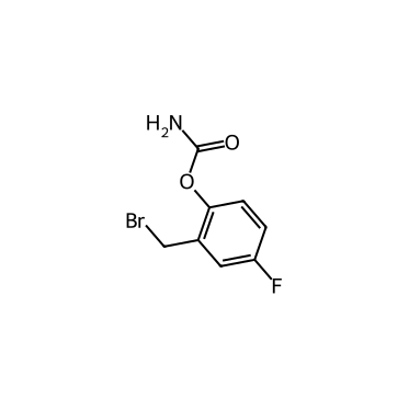 NC(=O)Oc1ccc(F)cc1CBr